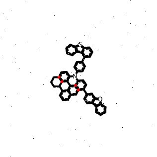 c1ccc(N(c2ccc(-c3ccc4c(c3)oc3ccccc34)cc2)c2ccc(-c3cccc4sc5ccccc5c34)cc2)c(-c2cccc3cccc(C4CCCCC4)c23)c1